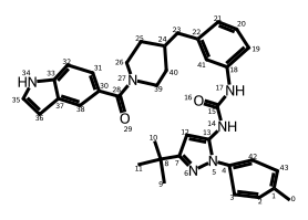 Cc1ccc(-n2nc(C(C)(C)C)cc2NC(=O)Nc2cccc(CC3CCN(C(=O)c4ccc5[nH]ccc5c4)CC3)c2)cc1